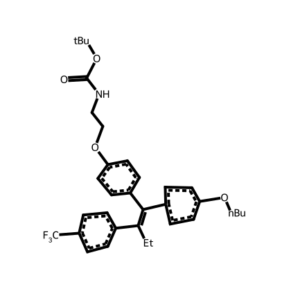 CCCCOc1ccc(/C(=C(\CC)c2ccc(C(F)(F)F)cc2)c2ccc(OCCNC(=O)OC(C)(C)C)cc2)cc1